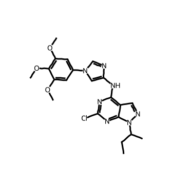 CCC(C)n1ncc2c(Nc3cn(-c4cc(OC)c(OC)c(OC)c4)cn3)nc(Cl)nc21